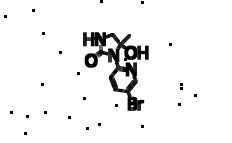 CC1(O)CNC(=O)N1c1ccc(Br)cn1